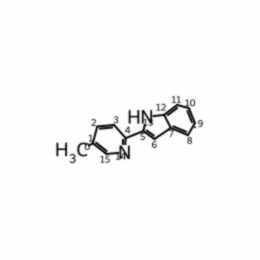 Cc1ccc(-c2cc3c[c]ccc3[nH]2)nc1